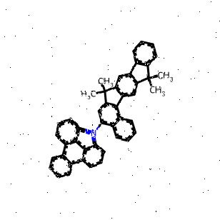 CC1(C)c2ccccc2-c2cc3c(cc21)-c1c(cc(-n2c4cccc5c6ccccc6c6cccc2c6c54)c2ccccc12)C3(C)C